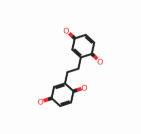 O=C1C=CC(=O)C(CCC2=CC(=O)C=CC2=O)=C1